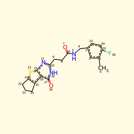 Cc1cc(CNC(=O)CCc2nc3sc4c(c3c(=O)[nH]2)CCC4)ccc1F